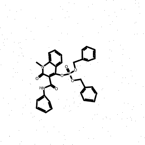 Cn1c(=O)c(C(=O)Nc2ccccc2)c(OP(=O)(OCc2ccccc2)OCc2ccccc2)c2ccccc21